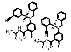 CC(C)NC(=O)c1cc(N(Cc2ccccc2)S(=O)(=O)c2cccc(C#N)c2)ccc1F.CC(C)NC(=O)c1cc(N(Cc2ccccc2)S(=O)(=O)c2ccccc2C#N)ccc1F